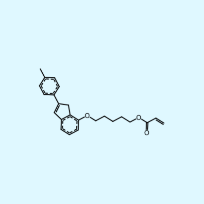 C=CC(=O)OCCCCCOc1cccc2c1CC(c1ccc(C)cc1)=C2